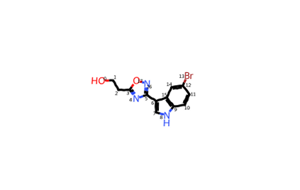 OCCc1nc(-c2c[nH]c3ccc(Br)cc23)no1